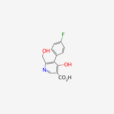 O=C(O)c1cnc(CO)c(-c2ccc(F)cc2)c1O